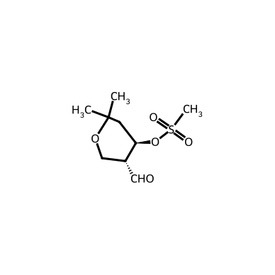 CC1(C)C[C@@H](OS(C)(=O)=O)[C@H](C=O)CO1